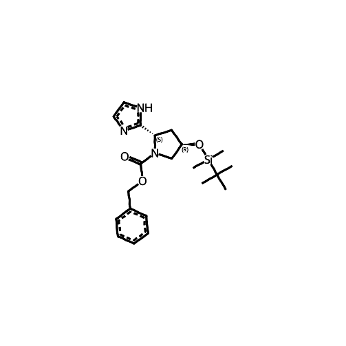 CC(C)(C)[Si](C)(C)O[C@@H]1C[C@@H](c2ncc[nH]2)N(C(=O)OCc2ccccc2)C1